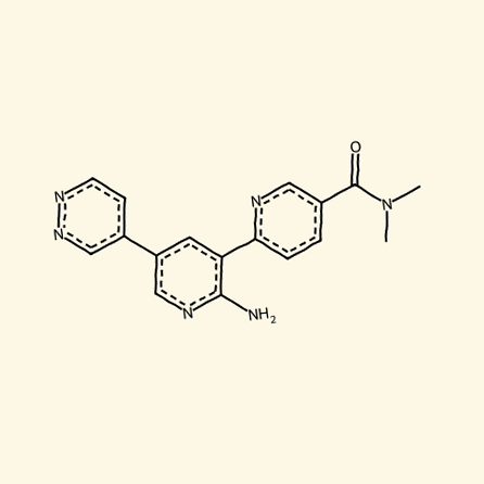 CN(C)C(=O)c1ccc(-c2cc(-c3ccnnc3)cnc2N)nc1